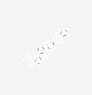 O=C(CN1Cc2ccc(-c3nc(NC4CCOCC4)ncc3Cl)cc2C1=O)N1CCc2cncnc2CC1